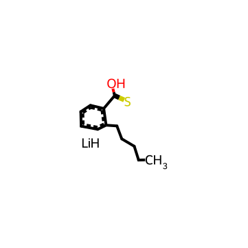 CCCCCc1ccccc1C(O)=S.[LiH]